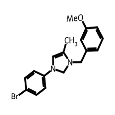 COc1cccc(CN2CN(c3ccc(Br)cc3)C=C2C)c1